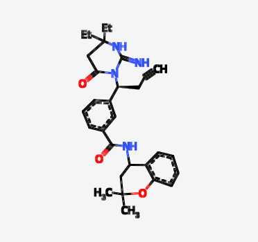 C#CC[C@@H](c1cccc(C(=O)NC2CC(C)(C)Oc3ccccc32)c1)N1C(=N)NC(CC)(CC)CC1=O